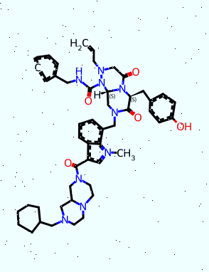 C=CCN1CC(=O)N2[C@@H](Cc3ccc(O)cc3)C(=O)N(Cc3cccc4c(C(=O)N5CCN6CCN(CC7CCCCC7)CC6C5)cn(C)c34)C[C@@H]2N1C(=O)NCc1ccccc1